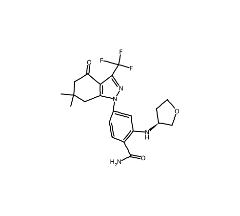 CC1(C)CC(=O)c2c(C(F)(F)F)nn(-c3ccc(C(N)=O)c(N[C@H]4CCOC4)c3)c2C1